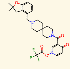 CC1(C)Cc2c(CN3CCC4(CC3)CCN(C(=O)c3cn(OC(=O)C(F)(F)F)ccc3=O)CC4)cccc2O1